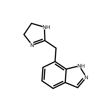 c1cc(CC2=NCCN2)c2[nH]ncc2c1